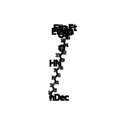 CCCCCCCCCCCCCCCCCCNCCCOCCC[Si](OCC)(OCC)OCC